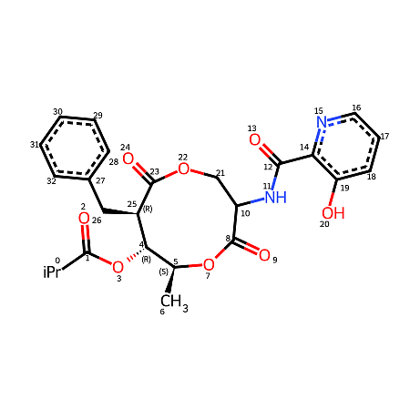 CC(C)C(=O)O[C@H]1[C@H](C)OC(=O)C(NC(=O)c2ncccc2O)COC(=O)[C@@H]1Cc1ccccc1